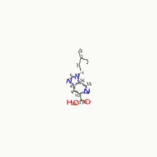 CC(C)CCn1cnc2cc(C(=O)O)ncc21